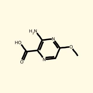 COc1cnc(C(=O)O)c(N)n1